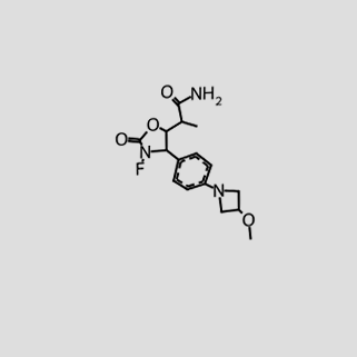 COC1CN(c2ccc(C3C(C(C)C(N)=O)OC(=O)N3F)cc2)C1